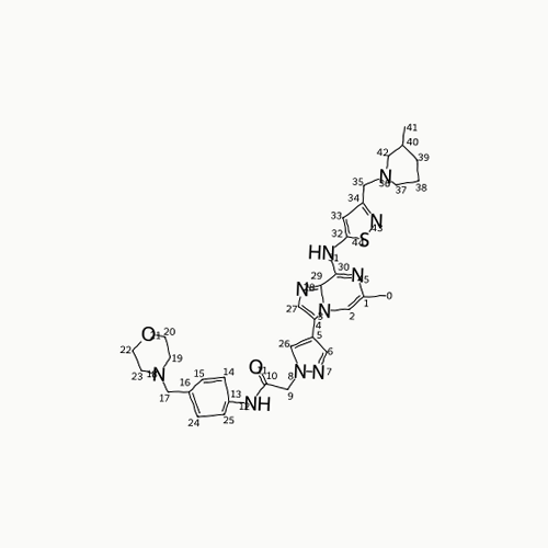 Cc1cn2c(-c3cnn(CC(=O)Nc4ccc(CN5CCOCC5)cc4)c3)cnc2c(Nc2cc(CN3CCCC(C)C3)ns2)n1